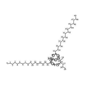 CCCCCCCCCCCCCCCCCC(=O)O[SiH](OOC(C)C(S)CCC)OC(=O)CCCCCCCCCCCCCCCCC